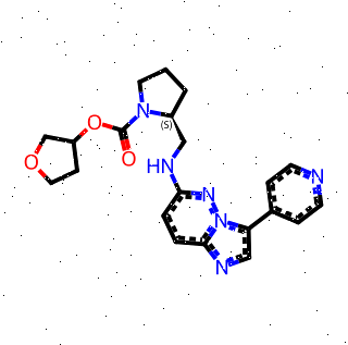 O=C(OC1CCOC1)N1CCC[C@H]1CNc1ccc2ncc(-c3ccncc3)n2n1